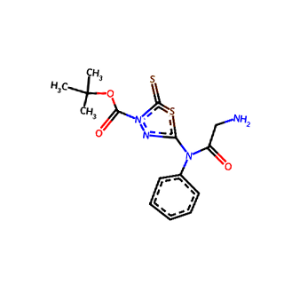 CC(C)(C)OC(=O)n1nc(N(C(=O)CN)c2ccccc2)sc1=S